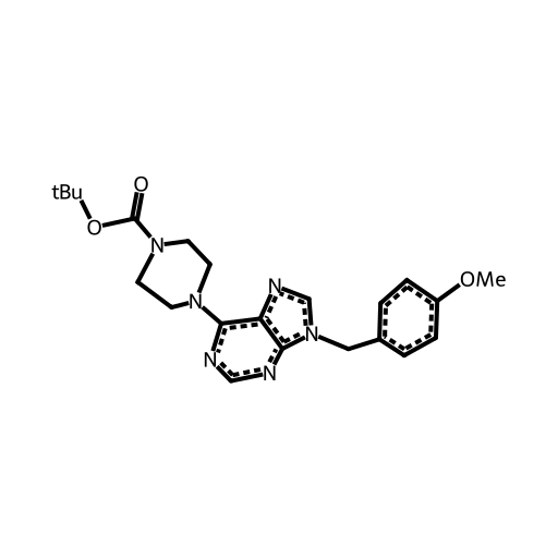 COc1ccc(Cn2cnc3c(N4CCN(C(=O)OC(C)(C)C)CC4)ncnc32)cc1